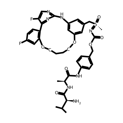 CC(C)[C@H](N)C(=O)N[C@@H](C)C(=O)Nc1ccc(COC(=O)N=[S@](C)(=O)Cc2cc3cc(c2)OCCCCOc2cc(F)ccc2-c2nc(ncc2F)N3)cc1